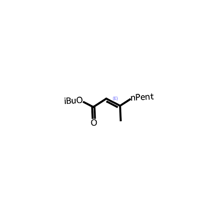 CCCCC/C(C)=C/C(=O)OCC(C)C